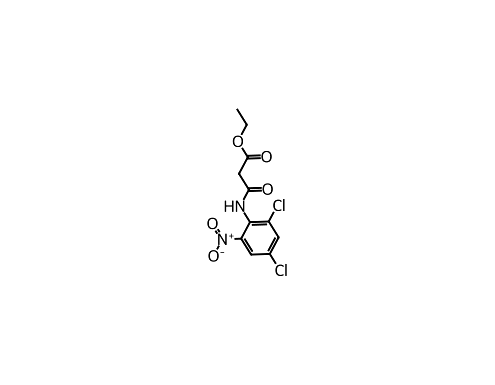 CCOC(=O)CC(=O)Nc1c(Cl)cc(Cl)cc1[N+](=O)[O-]